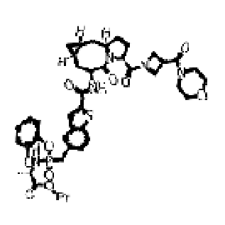 CC(C)OC(=O)[C@H](C)NP(=O)(Cc1ccc2sc(C(=O)N[C@H]3C[C@@H]4C[C@@H]4C[C@H]4CC[C@@H](C(=O)N5CC(C(=O)N6CCOCC6)C5)N4C3=O)cc2c1)Oc1ccccc1Cl